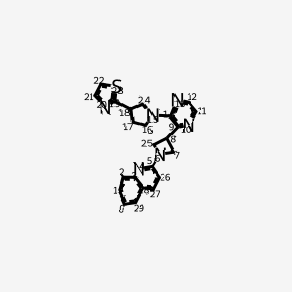 c1ccc2nc(N3CC(c4nccnc4N4CCC(c5nccs5)C4)C3)ccc2c1